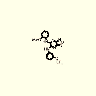 COc1ccccc1Nc1nc2nonc2nc1Nc1cccc(OC(F)(F)F)c1